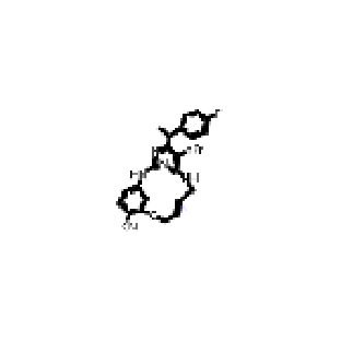 CCCc1c2nc(nc1C(C)c1ccc(F)cc1)Nc1ccc(C#N)c(c1)OC/C=C/CN2